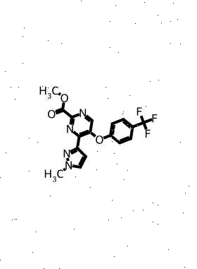 COC(=O)c1ncc(Oc2ccc(C(F)(F)F)cc2)c(-c2ccn(C)n2)n1